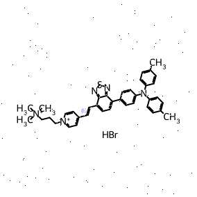 Br.Cc1ccc(N(c2ccc(C)cc2)c2ccc(-c3ccc(/C=C/c4cc[n+](CCC[N+](C)(C)C)cc4)c4nsnc34)cc2)cc1